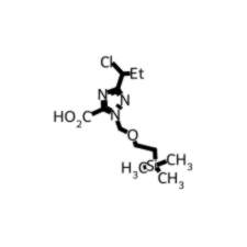 CCC(Cl)c1nc(C(=O)O)n(COCC[Si](C)(C)C)n1